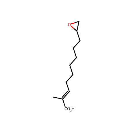 CC(=CCCCCCCC1CO1)C(=O)O